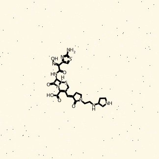 Nc1nc(C(=NO)C(=O)N[C@@H]2C(=O)N3C(C(=O)O)=C(C=C4CCN(CCNC5CCNC5)C4=O)CS[C@H]23)cs1